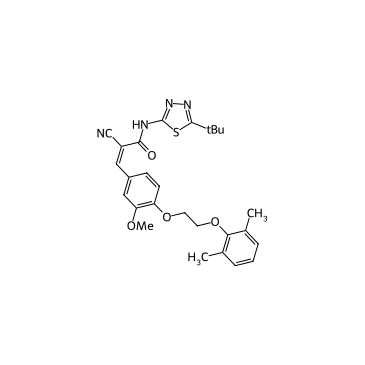 COc1cc(C=C(C#N)C(=O)Nc2nnc(C(C)(C)C)s2)ccc1OCCOc1c(C)cccc1C